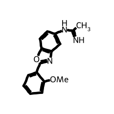 COc1ccccc1-c1nc2cc(NC(C)=N)ccc2o1